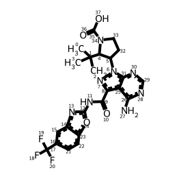 CC(C)(C)C1C(n2nc(C(=O)Nc3nc4cc(C(F)(F)F)ccc4o3)c3c(N)ncnc32)CCN1C(=O)O